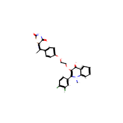 C/C(=C1\SC(=O)NC1=O)c1ccc(OCCOc2c(-c3ccc(F)c(F)c3)n(C)c3ccccc3c2=O)cc1